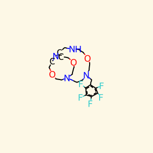 Fc1c(F)c(F)c(CN2CCOCCNCCN3CCOCCN(CCOCC3)CC2)c(F)c1F